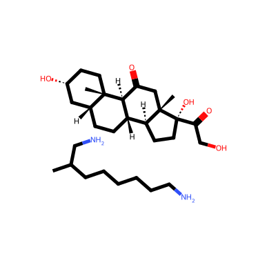 CC(CN)CCCCCCN.C[C@]12CC[C@@H](O)C[C@H]1CC[C@@H]1[C@@H]2C(=O)C[C@@]2(C)[C@H]1CC[C@]2(O)C(=O)CO